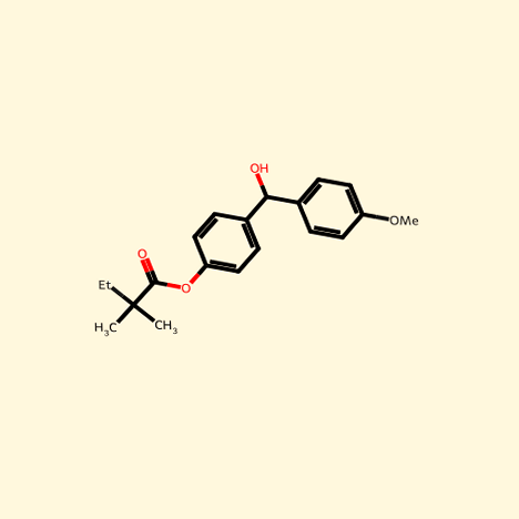 CCC(C)(C)C(=O)Oc1ccc(C(O)c2ccc(OC)cc2)cc1